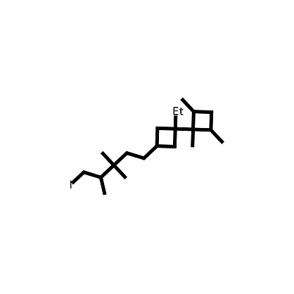 CCC1(C2(C)C(C)CC2C)CC(CCC(C)(C)C(C)CI)C1